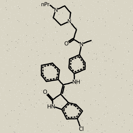 CCCN1CCN(CC(=O)N(C)c2ccc(NC(=C3C(=O)Nc4cc(Cl)ccc43)c3ccccc3)cc2)CC1